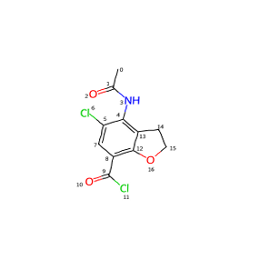 CC(=O)Nc1c(Cl)cc(C(=O)Cl)c2c1CCO2